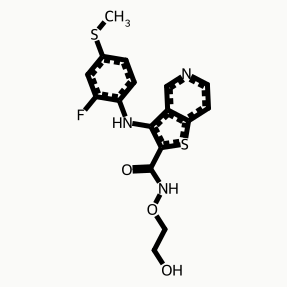 CSc1ccc(Nc2c(C(=O)NOCCO)sc3ccncc23)c(F)c1